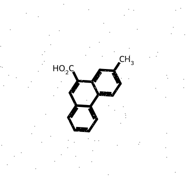 Cc1ccc2c(c1)c(C(=O)O)cc1ccccc12